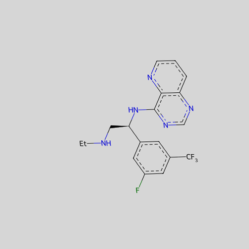 CCNC[C@@H](Nc1ncnc2cccnc12)c1cc(F)cc(C(F)(F)F)c1